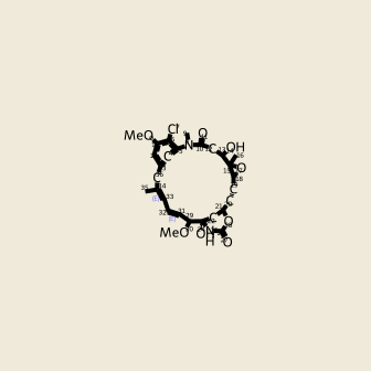 COc1cc2cc(c1Cl)N(C)C(=O)CC(O)C1(C)OC1CCC1C[C@@](O)(NC(=O)O1)C(OC)/C=C/C=C(\C)C2